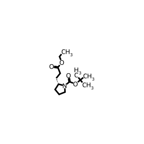 CCOC(=O)CC[C@H]1CCCN1C(=O)OC(C)(C)C